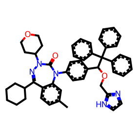 Cc1ccc2c(c1)N(c1ccc(C(OCc3ncc[nH]3)C(c3ccccc3)(c3ccccc3)c3ccccc3)cc1)C(=O)N(C1CCOCC1)N=C2C1CCCCC1